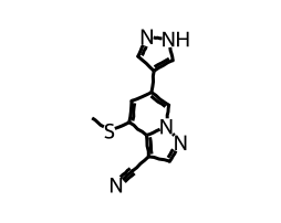 CSc1cc(-c2cn[nH]c2)cn2ncc(C#N)c12